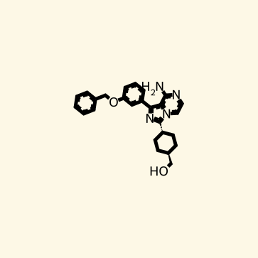 Nc1nccn2c1c(-c1cccc(OCc3ccccc3)c1)nc2[C@H]1CC[C@H](CO)CC1